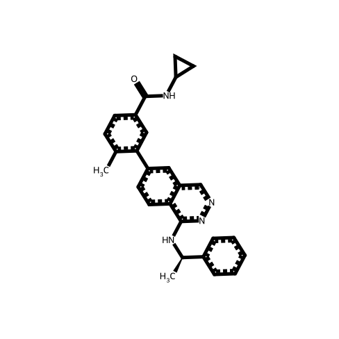 Cc1ccc(C(=O)NC2CC2)cc1-c1ccc2c(N[C@H](C)c3ccccc3)nncc2c1